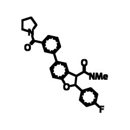 CNC(=O)C1c2cc(-c3cccc(C(=O)N4CCCC4)c3)ccc2OC1c1ccc(F)cc1